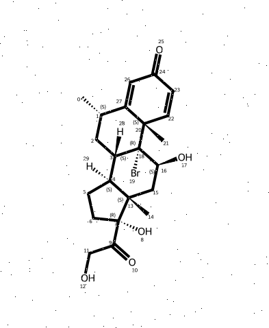 C[C@H]1C[C@H]2[C@@H]3CC[C@](O)(C(=O)CO)[C@@]3(C)C[C@H](O)[C@]2(Br)[C@@]2(C)C=CC(=O)C=C12